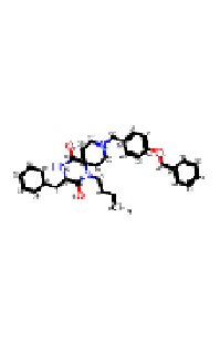 CCCCN1C(=O)C(CC2CCCCC2)NC(=O)C12CCN(Cc1ccc(OCc3ccccc3)cc1)CC2